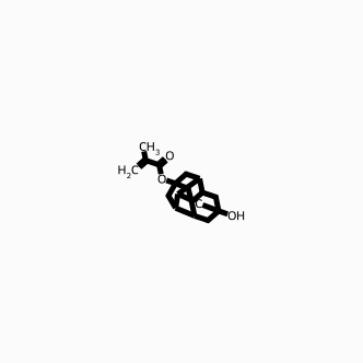 C=C(C)C(=O)OC12CC3C4CC5(O)CC3C(C1)C(C5)C4C2